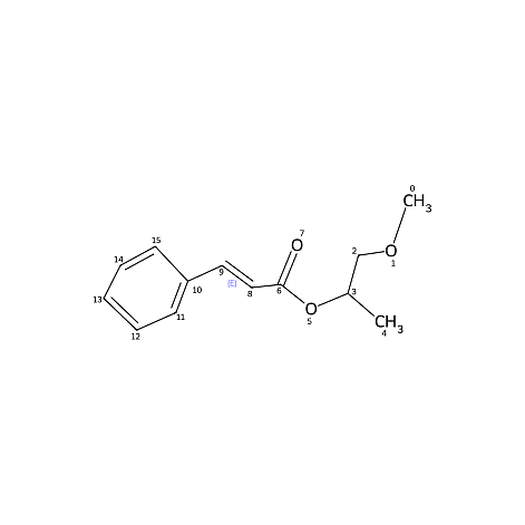 COCC(C)OC(=O)/C=C/c1ccccc1